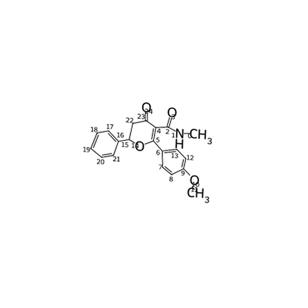 CNC(=O)C1=C(c2ccc(OC)cc2)OC(c2ccccc2)CC1=O